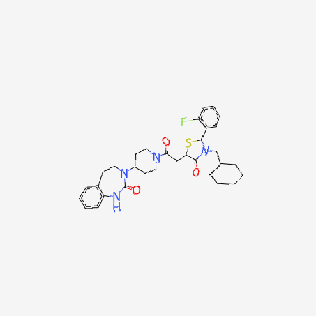 O=C(CC1SC(c2ccccc2F)N(CC2CCCCC2)C1=O)N1CCC(N2CCc3ccccc3NC2=O)CC1